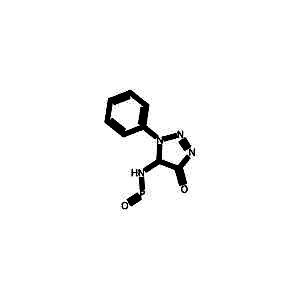 O=PNC1C(=O)N=NN1c1ccccc1